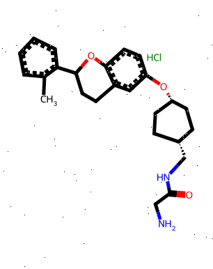 Cc1ccccc1C1CCc2cc(O[C@H]3CC[C@@H](CNC(=O)CN)CC3)ccc2O1.Cl